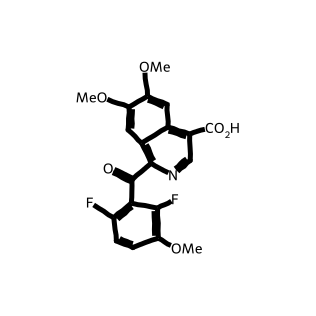 COc1cc2c(C(=O)O)cnc(C(=O)c3c(F)ccc(OC)c3F)c2cc1OC